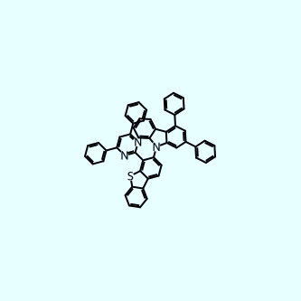 c1ccc(-c2cc(-c3ccccc3)c3c4ccccc4n(-c4ccc5c(sc6ccccc65)c4-c4nc(-c5ccccc5)cc(-c5ccccc5)n4)c3c2)cc1